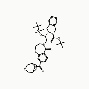 CC(C)(C)OC(=O)N1Cc2ccccc2C[C@H]1C(CN1CCOc2cc(C(=O)N3C4CCC3COC4)ccc2C1=O)O[Si](C)(C)C(C)(C)C